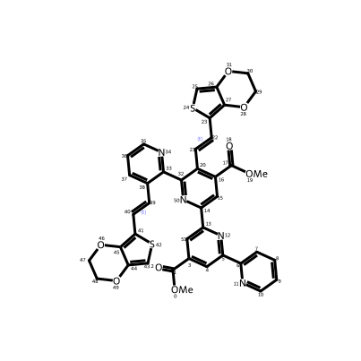 COC(=O)c1cc(-c2ccccn2)nc(-c2cc(C(=O)OC)c(/C=C/c3scc4c3OCCO4)c(-c3ncccc3/C=C/c3scc4c3OCCO4)n2)c1